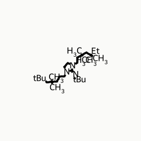 CCC(C)(C)CC(C)(C)CCN1CCN(CCCC(C)(C)CC(C)(C)C)C1=NC(C)(C)C